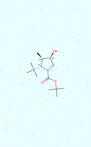 C[C@@H]1[C@@H](C(C)(C)C)N(C(=O)OC(C)(C)C)C[C@@H]1O